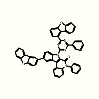 O=c1c2c(c3ccccc3n1-c1ccccc1)c1cc(-c3ccc4oc5ccccc5c4c3)ccc1n2-c1nc(-c2ccccc2)nc(-c2cccc3oc4ccccc4c23)n1